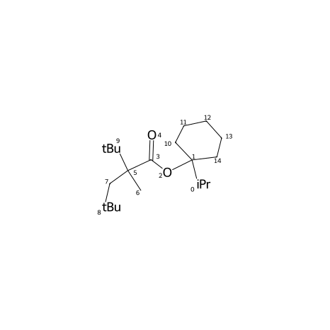 CC(C)C1(OC(=O)C(C)(CC(C)(C)C)C(C)(C)C)CCCCC1